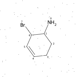 NC1CCC=CC1Br